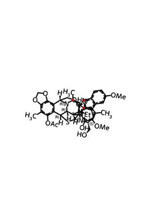 CCN1CC2(C)Cc3cc(C)c(OC)c(O)c3[C@@H]1[C@@H]1[C@@H]3SC[C@]4(N[C@H](CO)Cc5c4[nH]c4ccc(OC)cc54)C(=O)OC[C@@H](c4c5c(c(C)c(OC(C)=O)c43)OCO5)N12